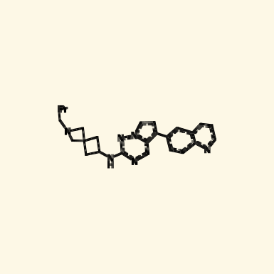 CC(C)CN1CC2(CC(Nc3ncc4c(-c5ccc6ncccc6c5)ccn4n3)C2)C1